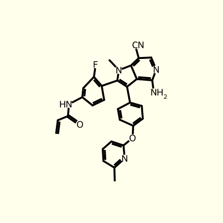 C=CC(=O)Nc1ccc(-c2c(-c3ccc(Oc4cccc(C)n4)cc3)c3c(N)ncc(C#N)c3n2C)c(F)c1